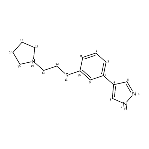 [c]1ccc(-c2cn[nH]c2)cc1SCCN1CCCC1